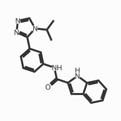 CC(C)n1cnnc1-c1cccc(NC(=O)c2cc3ccccc3[nH]2)c1